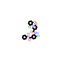 O=C(Nc1ccccc1)c1ccc(Cl)c(NC(=O)c2ccc(=O)n(-c3c(Cl)cccc3Cl)c2)c1